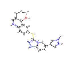 Cn1cc(-c2ccc3nnc(Sc4ccc5ncc6c(c5c4)OCCC6)n3c2)cn1